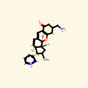 CC(=O)OC1C[C@H]2[C@@H]3OC4=C(C=C3C=C[C@]2(C)[C@H]1c1cccnc1)C(=O)CC(CN)C4